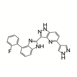 Fc1ccccc1-c1cccc2[nH]c(-c3n[nH]c4ccc(-c5cn[nH]c5)nc34)nc12